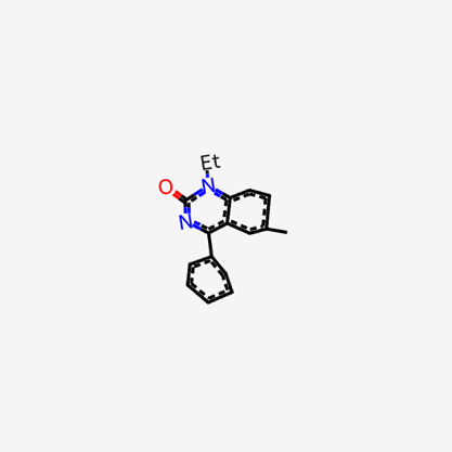 CCn1c(=O)nc(-c2ccccc2)c2cc(C)ccc21